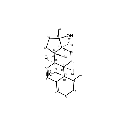 CC1CCC=C2CC[C@@H]3[C@@H](CC[C@@]4(C)[C@H]3CCC4(C)O)[C@]21CO